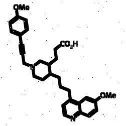 COc1ccc(C#CCN2CCC(CCCc3ccnc4ccc(OC)cc34)C(CCC(=O)O)C2)cc1